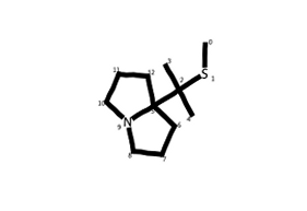 CSC(C)(C)C12CCCN1CCC2